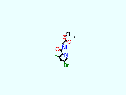 COC(=O)CNC(=O)c1ncc(Br)cc1F